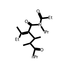 CCCC(=O)C(C)C(C)/C(C(=O)N(C(=O)CC)C(C)C)=C(/C)CC